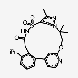 Cc1nn2cc1S(=O)(=O)NC(=O)Cc1c(cccc1C(C)C)-c1ccnc(c1)OCC2(C)C